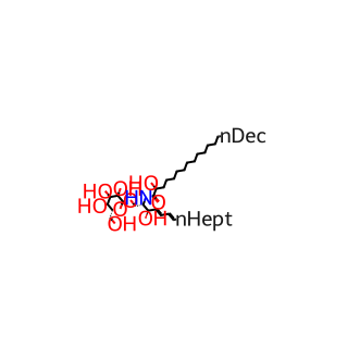 CCCCCCC/C=C/C=C/[C@@H](O)[C@H](CO[C@@H]1O[C@H](CO)[C@@H](O)C(O)C1O)NC(=O)C(O)CCCCCCCCCCCCCCCCCCCCCC